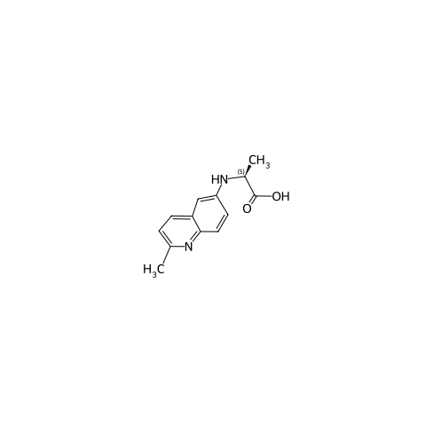 Cc1ccc2cc(N[C@@H](C)C(=O)O)ccc2n1